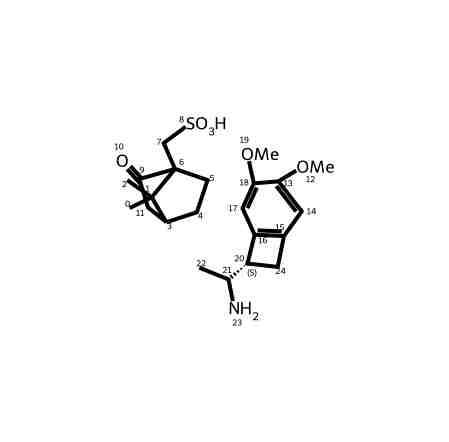 CC1(C)C2CCC1(CS(=O)(=O)O)C(=O)C2.COc1cc2c(cc1OC)[C@@H](C(C)N)C2